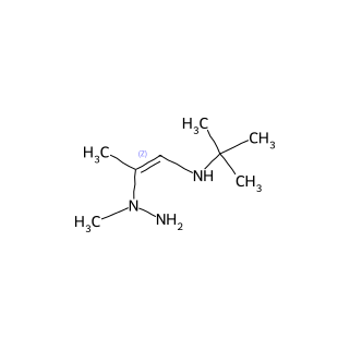 C/C(=C/NC(C)(C)C)N(C)N